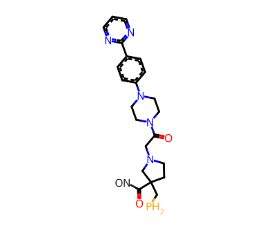 O=NC(=O)C1(CP)CCN(CC(=O)N2CCN(c3ccc(-c4ncccn4)cc3)CC2)C1